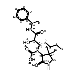 CCCC[C@@H](C(O)C(=O)N[C@H](C)c1ccccc1)N(C(=O)O)C1C(=O)NCC1(C)C